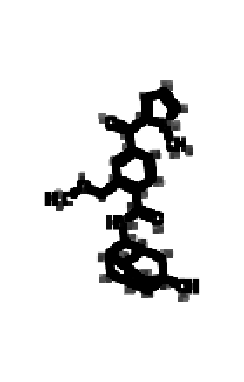 COCc1cc(C(=O)c2cccn2C)ccc1C(=O)NC1C2CC3CC1CC(O)(C3)C2